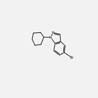 Brc1ccc2c(cnn2C2CCCCC2)c1